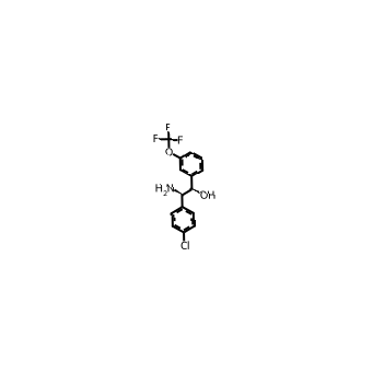 N[C@H](c1ccc(Cl)cc1)[C@H](O)c1cccc(OC(F)(F)F)c1